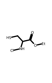 CCOC(=O)C(CS)NCl